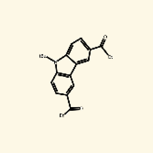 CCC(=O)c1ccc2c(c1)c1cc(C(=O)CC)ccc1n2C(C)(C)C